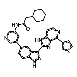 O=C(CC1CCCCC1)Nc1cncc(-c2ccc3[nH]nc(-c4nc5c(-c6ccsc6)nccc5[nH]4)c3c2)c1